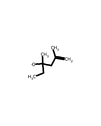 C=C(C)CC(C)([O])CC